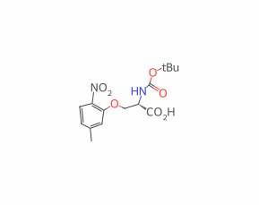 Cc1ccc([N+](=O)[O-])c(OC[C@@H](NC(=O)OC(C)(C)C)C(=O)O)c1